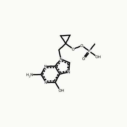 CP(=O)(O)OOC1(Cn2cnc3c(O)nc(N)nc32)CC1